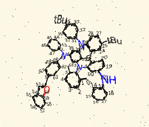 Cc1cccc(C)c1N1c2cc(Nc3ccccc3)ccc2B2c3cc(C(C)(C)C)ccc3N(c3ccc(C(C)(C)C)cc3)c3cc(N(c4ccccc4)c4ccc(-c5cc6ccccc6o5)cc4)cc1c32